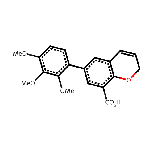 COc1ccc(-c2cc3c(c(C(=O)O)c2)OCC=C3)c(OC)c1OC